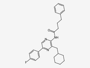 O=C(CCCc1ccccc1)Nc1ncc(-c2ccc(F)cc2)nc1CC1CCCCC1